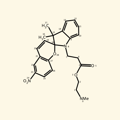 CNCCOC(=O)CCN1c2ccccc2C(C)(C)C12C=Cc1cc([N+](=O)[O-])ccc1O2